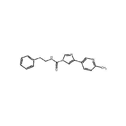 Cc1ccc(-c2cn(C(=O)NCCc3ccccc3)cn2)cn1